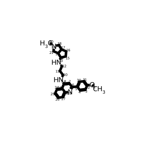 COc1ccc(-c2cc(NCCCNC3CCC4CN(C)CC43)c3ccccc3n2)cc1